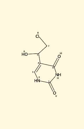 O=c1[nH]cc(C(O)CCl)c(=O)[nH]1